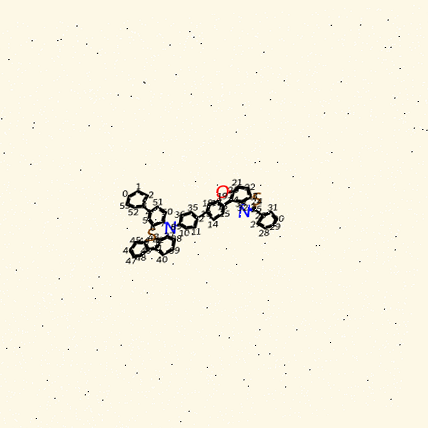 c1ccc(-c2ccc(N(c3ccc(-c4ccc5c(c4)oc4ccc6sc(-c7ccccc7)nc6c45)cc3)c3cccc4c3sc3ccccc34)cc2)cc1